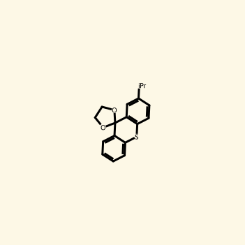 CC(C)c1ccc2c(c1)C1(OCCO1)c1ccccc1S2